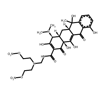 CN(C)[C@@H]1C(O)=C(C(=O)NCN(CCO[N+](=O)[O-])CCO[N+](=O)[O-])C(=O)[C@@]2(O)C(O)=C3C(=O)c4c(O)cccc4C(C)(O)[C@H]3C[C@@H]12